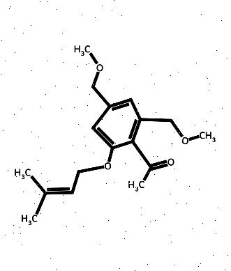 COCc1cc(COC)c(C(C)=O)c(OCC=C(C)C)c1